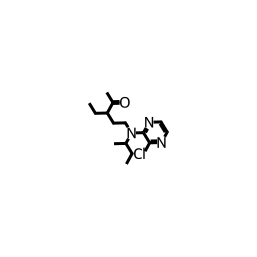 CCC(CCN(c1nccnc1Cl)C(C)CC)C(C)=O